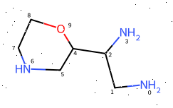 NCC(N)C1CNCCO1